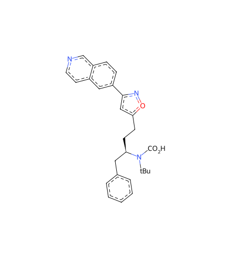 CC(C)(C)N(C(=O)O)[C@H](CCc1cc(-c2ccc3cnccc3c2)no1)Cc1ccccc1